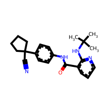 CC(C)(C)Nc1ncccc1C(=O)Nc1ccc(C2(C#N)CCCC2)cc1